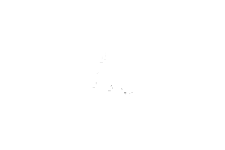 O=S(=O)([O-])[S-].O=S(=O)([O-])[S-].O=S(=O)([O-])[S-].[Cu+].[Cu+].[Cu+].[Cu+].[Cu+].[Cu+]